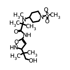 CN(C1CCN(S(C)(=O)=O)CC1)C(C)(C)C(=O)NC1=CC(C(C)(C)CO)NO1